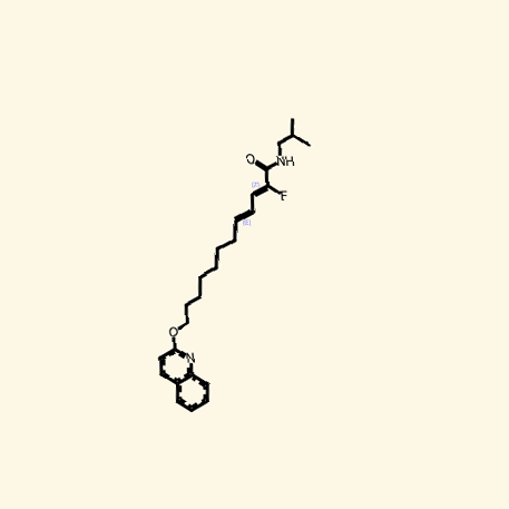 CC(C)CNC(=O)/C(F)=C/C=C/CCCCCCCOc1ccc2ccccc2n1